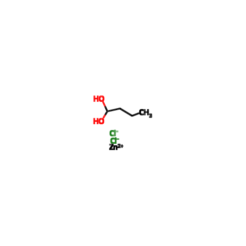 CCCC(O)O.[Cl-].[Cl-].[Zn+2]